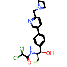 O=C(N[C@H](CF)[C@H](O)c1ccc(-c2ccc(CN3CCC3)nc2)cc1)C(Cl)Cl